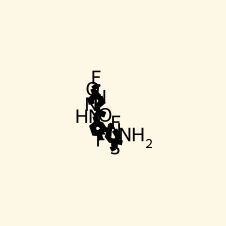 CSC1(C)CCC(CF)(c2cc(NC(=O)c3cnc(OCF)cn3)ccc2F)N=C1N